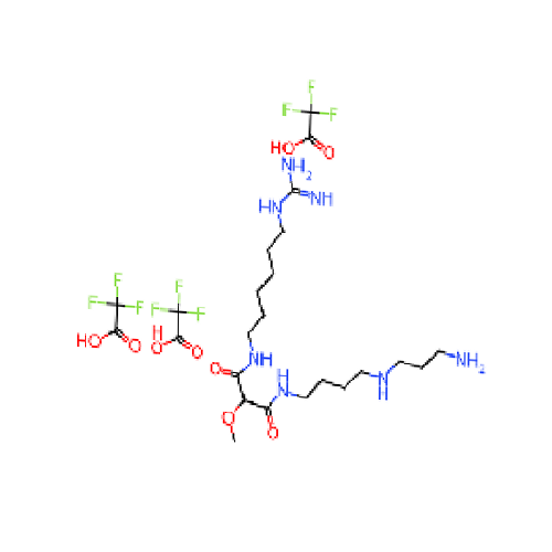 COC(C(=O)NCCCCCCNC(=N)N)C(=O)NCCCCNCCCN.O=C(O)C(F)(F)F.O=C(O)C(F)(F)F.O=C(O)C(F)(F)F